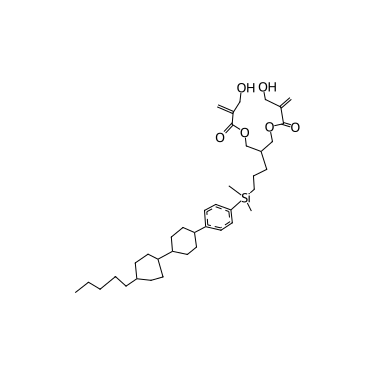 C=C(CO)C(=O)OCC(CCC[Si](C)(C)c1ccc(C2CCC(C3CCC(CCCCC)CC3)CC2)cc1)COC(=O)C(=C)CO